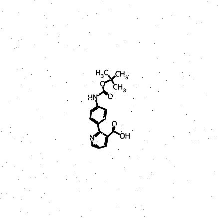 CC(C)(C)OC(=O)Nc1ccc(-c2ncccc2C(=O)O)cc1